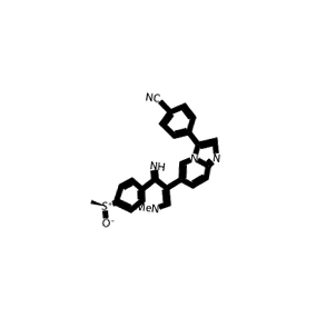 CN/C=C(\C(=N)c1ccc([S@+](C)[O-])cc1)c1ccc2ncc(-c3ccc(C#N)cc3)n2c1